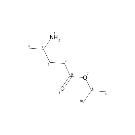 CC(N)CCC(=O)OC(C)C